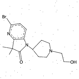 CC1(C)C(=O)N(C2CCN(CCO)CC2)c2ccc(Br)nc21